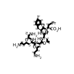 C=CC[C@H](NC(=O)[C@H](CCCCN)NC(=O)[C@H](CCCCN)NC(=O)[C@H](C)N)C(=O)N[C@@H](Cc1ccc(I)cc1)C(=O)N[C@@H](CC(C)C)C(=O)O